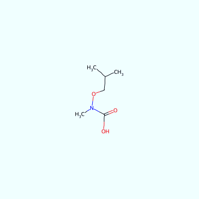 CC(C)CON(C)C(=O)O